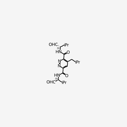 CC(C)Cc1cc(C(=O)N[C@H](C=O)C(C)C)nnc1C(=O)N[C@H](C=O)C(C)C